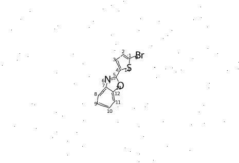 Brc1ccc(-c2nc3ccccc3o2)s1